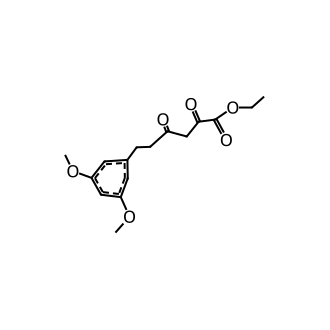 CCOC(=O)C(=O)CC(=O)CCc1cc(OC)cc(OC)c1